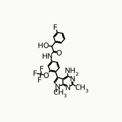 Cc1nc(N)c2c(-c3ccc(NC(=O)C(O)c4cccc(F)c4)cc3OC(F)(F)F)cn(C)c2n1